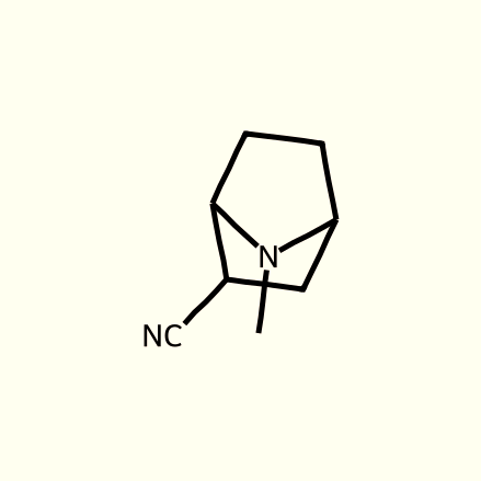 CN1C2CCC1C(C#N)C2